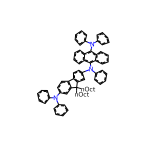 CCCCCCCCC1(CCCCCCCC)c2cc(N(c3ccccc3)c3ccccc3)ccc2-c2ccc(N(c3ccccc3)c3c4ccccc4c(N(c4ccccc4)c4ccccc4)c4ccccc34)cc21